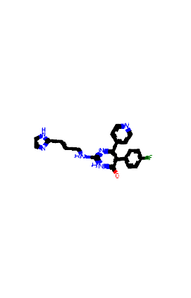 O=c1[nH]c(NCCCc2ncc[nH]2)nc(-c2ccncc2)c1-c1ccc(F)cc1